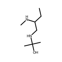 CCC(CNC(C)(C)O)NC